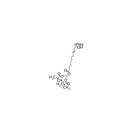 C=C(C)C(=O)OCC(COC(=O)C(=C)C)OC(=O)CCCCCCC/C=C/CC(O)CCCCCC